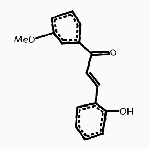 COc1cccc(C(=O)C=Cc2ccccc2O)c1